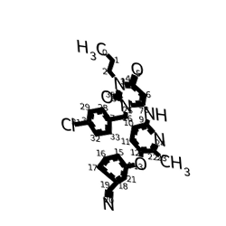 CCCn1c(=O)cc(Nc2ccc(Oc3cccc(C#N)c3)c(C)n2)n(Cc2ccc(Cl)cc2)c1=O